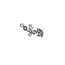 C[C@@H]1CC(F)(F)c2ncnc(N3CCN(C(=O)C(N)Cc4ccc(Cl)cc4)CC3)c21